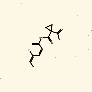 C=C(/C=C\C(F)=C/C)NC(=O)C1(C(C)=O)CC1